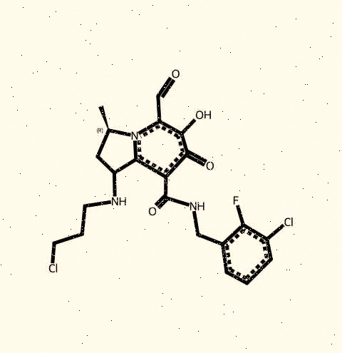 C[C@@H]1CC(NCCCCl)c2c(C(=O)NCc3cccc(Cl)c3F)c(=O)c(O)c(C=O)n21